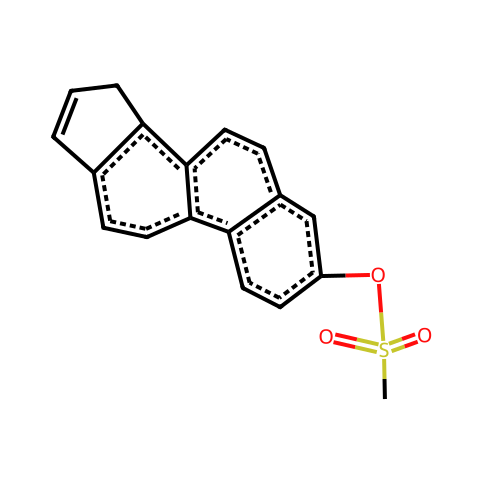 CS(=O)(=O)Oc1ccc2c(ccc3c4c(ccc32)C=CC4)c1